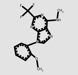 CNc1nc(C(F)(F)F)nc2c1ncn2-c1ccccc1OC